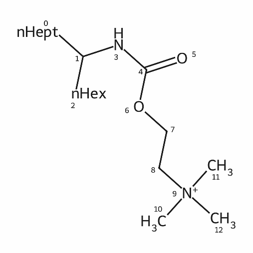 CCCCCCCC(CCCCCC)NC(=O)OCC[N+](C)(C)C